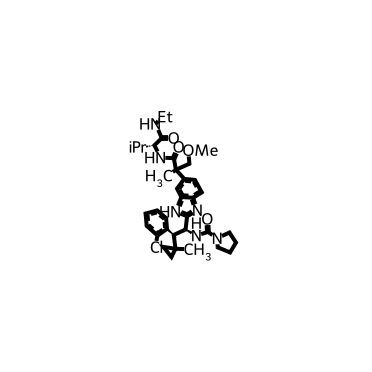 CCNC(=O)[C@H](NC(=O)C(C)(COC)c1ccc2nc([C@@H](NC(=O)N3CCCC3)[C@H](c3ccccc3Cl)C3(C)CC3)[nH]c2c1)C(C)C